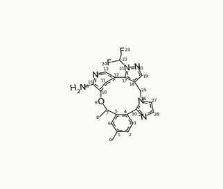 Cc1ccc2c(c1)C(C)Oc1cc(cnc1N)-c1c(cnn1C(F)F)Cn1ccnc1-2